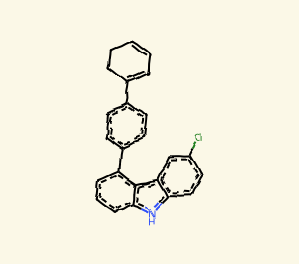 Clc1ccc2[nH]c3cccc(-c4ccc(C5=CC=CCC5)cc4)c3c2c1